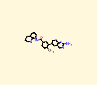 Cc1ccc(C(=O)Nc2cccc3cccnc23)cc1-c1ccc2nc(N)ncc2c1